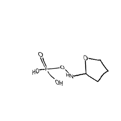 O=P(O)(O)ONC1CCCO1